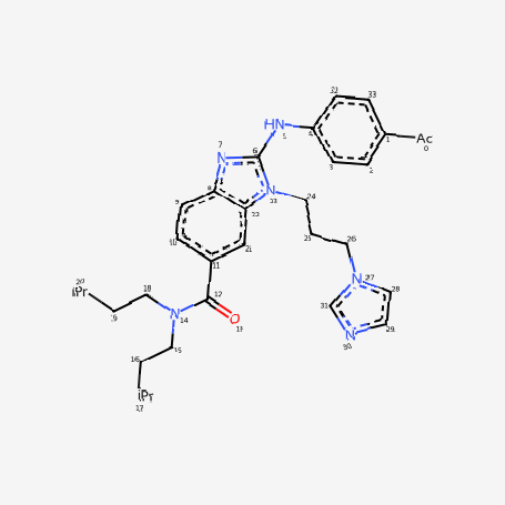 CC(=O)c1ccc(Nc2nc3ccc(C(=O)N(CCC(C)C)CCC(C)C)cc3n2CCCn2ccnc2)cc1